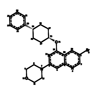 Brc1cnc2cc(N3CCOCC3)nc(O[C@H]3CC[C@@H](c4ccccc4)CC3)c2c1